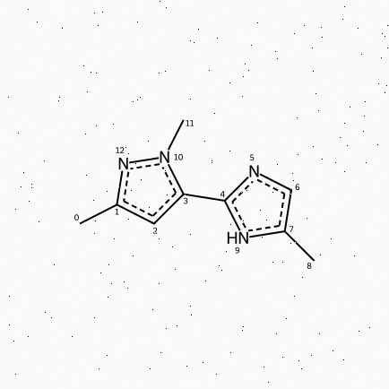 Cc1cc(-c2ncc(C)[nH]2)n(C)n1